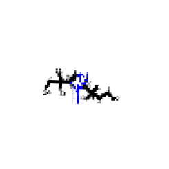 CCCC(C)(C)c1ncc(C(C)(C)CC)[nH]1